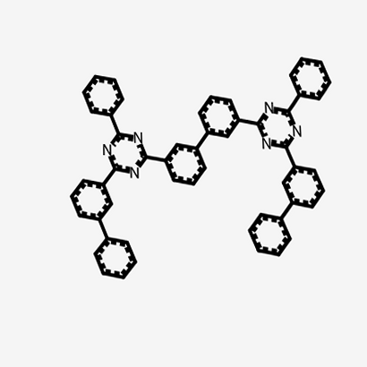 c1ccc(-c2cccc(-c3nc(-c4ccccc4)nc(-c4cccc(-c5cccc(-c6nc(-c7ccccc7)nc(-c7cccc(-c8ccccc8)c7)n6)c5)c4)n3)c2)cc1